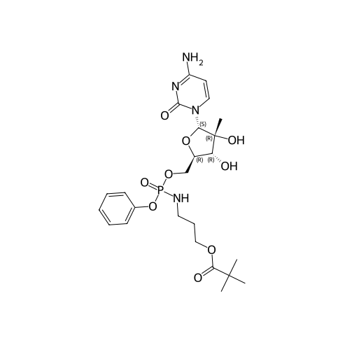 CC(C)(C)C(=O)OCCCNP(=O)(OC[C@H]1O[C@H](n2ccc(N)nc2=O)[C@](C)(O)[C@@H]1O)Oc1ccccc1